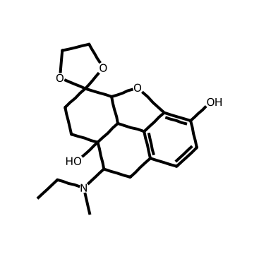 CCN(C)C1Cc2ccc(O)c3c2C2C(O3)C3(CCC21O)OCCO3